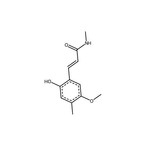 CNC(=O)/C=C/c1cc(OC)c(C)cc1O